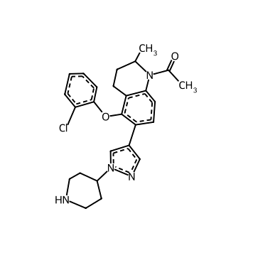 CC(=O)N1c2ccc(-c3cnn(C4CCNCC4)c3)c(Oc3ccccc3Cl)c2CCC1C